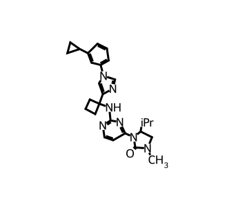 CC(C)C1CN(C)C(=O)N1c1ccnc(NC2(c3cn(-c4cccc(C5CC5)c4)cn3)CCC2)n1